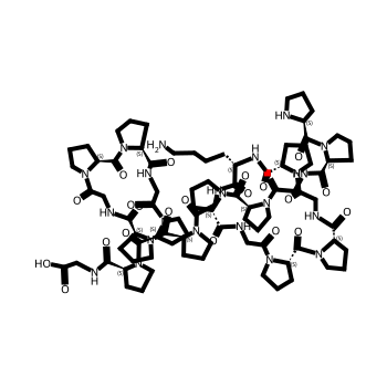 NCCCC[C@H](NC(=O)[C@@H]1CCCN1C(=O)CNC(=O)[C@@H]1CCCN1C(=O)[C@@H]1CCCN1C(=O)CNC(=O)[C@@H]1CCCN1C(=O)[C@@H]1CCCN1C(=O)CNC(=O)[C@@H]1CCCN1C(=O)[C@@H]1CCCN1)C(=O)NCC(=O)N1CCC[C@H]1C(=O)N1CCC[C@H]1C(=O)NCC(=O)N1CCC[C@H]1C(=O)N1CCC[C@H]1C(=O)NCC(=O)N1CCC[C@H]1C(=O)N1CCC[C@H]1C(=O)NCC(=O)O